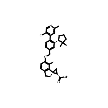 Cc1cc(-c2ccc(COc3ccc4c(c3F)[C@@]3(CC4)C[C@@H]3C(=O)O)cc2[C@@H]2CCCC2(C)C)c(Cl)cn1